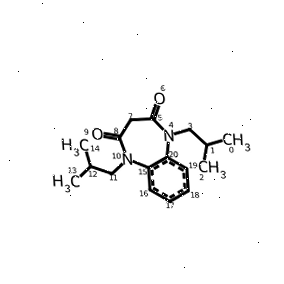 CC(C)CN1C(=O)CC(=O)N(CC(C)C)c2ccccc21